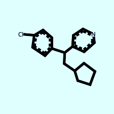 Clc1ccc(C(CC2CCCC2)c2ccncc2)cc1